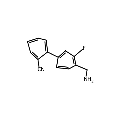 N#Cc1ccccc1-c1ccc(CN)c(F)c1